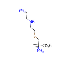 C[C@](N)(CSCCNCC=N)C(=O)O